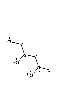 CN(O)CC(O)CCl